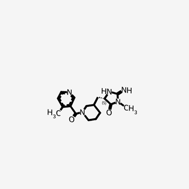 Cc1ccncc1C(=O)N1CCCC(C[C@@H]2NC(=N)N(C)C2=O)C1